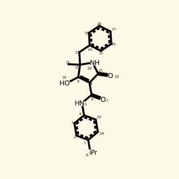 CC(C)c1ccc(NC(=O)C2=C(O)C(C)(Cc3ccccc3)NC2=O)cc1